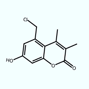 Cc1c(C)c2c(CCl)cc(O)cc2oc1=O